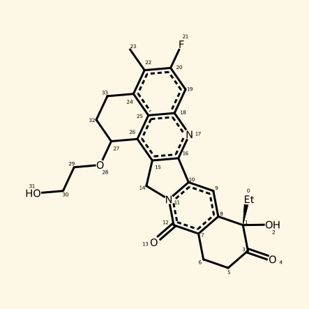 CC[C@@]1(O)C(=O)CCc2c1cc1n(c2=O)Cc2c-1nc1cc(F)c(C)c3c1c2C(OCCO)CC3